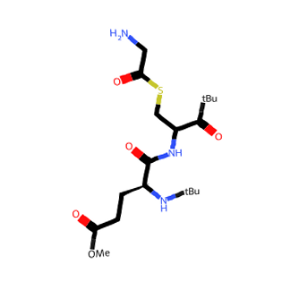 COC(=O)CC[C@H](NC(C)(C)C)C(=O)NC(CSC(=O)CN)C(=O)C(C)(C)C